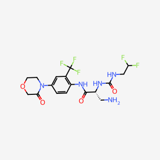 NC[C@@H](NC(=O)NCC(F)F)C(=O)Nc1ccc(N2CCOCC2=O)cc1C(F)(F)F